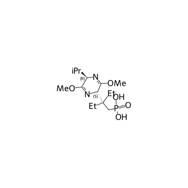 CCC(CC)(CP(=O)(O)O)[C@@H]1N=C(OC)[C@@H](C(C)C)N=C1OC